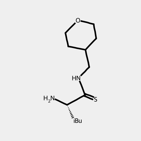 CCC(C)[C@H](N)C(=S)NCC1CCOCC1